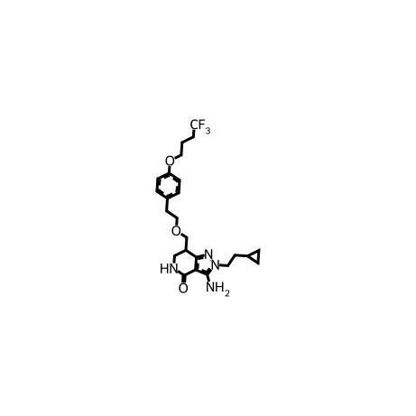 Nc1c2c(nn1CCC1CC1)C(COCCc1ccc(OCCCC(F)(F)F)cc1)CNC2=O